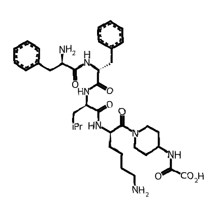 CC(C)C[C@@H](NC(=O)[C@@H](Cc1ccccc1)NC(=O)[C@H](N)Cc1ccccc1)C(=O)N[C@H](CCCCN)C(=O)N1CCC(NC(=O)C(=O)O)CC1